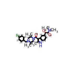 Cc1[nH]c2ccc(C(=O)C(=O)N(C)C)cc2c1C(=O)N1C[C@H](C)N(Cc2ccc(F)cc2)C[C@H]1C